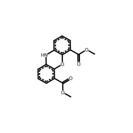 COC(=O)c1cccc2c1Oc1c(cccc1C(=O)OC)N2